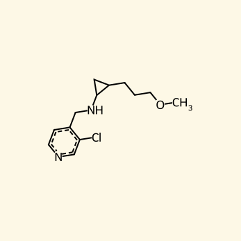 COCCCC1CC1NCc1ccncc1Cl